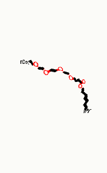 CCCCCCCCCCCCOCCOCCOCCOCCCC(=O)OCCCCCCCC(C)C